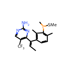 C/C=C(\c1ccc(C)c(P(C)SC)c1C)c1nc(N)ncc1C(F)(F)F